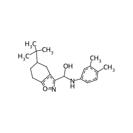 Cc1ccc(NC(O)c2noc3c2CC(C(C)(C)C)CC3)cc1C